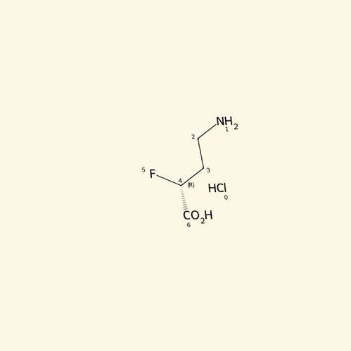 Cl.NCC[C@@H](F)C(=O)O